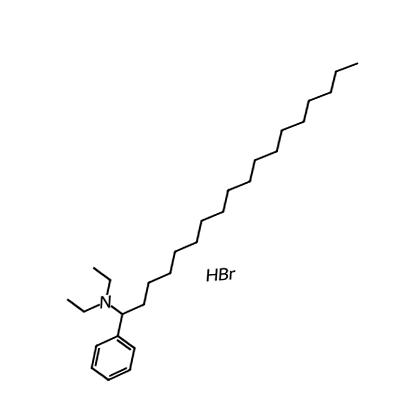 Br.CCCCCCCCCCCCCCCCCC(c1ccccc1)N(CC)CC